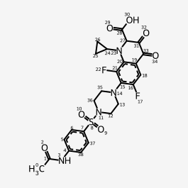 CC(=O)Nc1ccc(S(=O)(=O)N2CCN(c3c(F)cc4c(c3F)N(C3CC3)C(C(=O)O)C(=O)C4=O)CC2)cc1